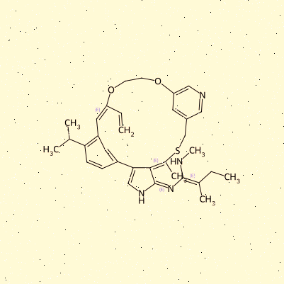 C=C/C1=C\c2cc(ccc2C(C)C)C2=CNC(=N/C(NC)=C(\C)CC)/C2=C(\C)SCc2cncc(c2)OCCO1